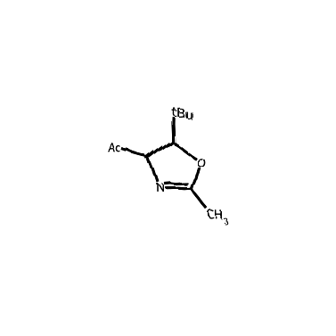 CC(=O)C1N=C(C)OC1C(C)(C)C